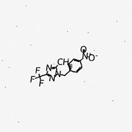 Cc1nc(C(F)(F)F)nn1Cc1ccc([N+](=O)[O-])cc1